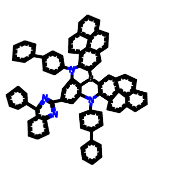 c1ccc(-c2ccc(N3c4cc(-c5nc(-c6ccccc6)c6ccccc6n5)cc5c4B(c4cc6ccc7cccc8ccc(c43)c6c78)c3cc4ccc6cccc7ccc(c3N5c3ccc(-c5ccccc5)cc3)c4c67)cc2)cc1